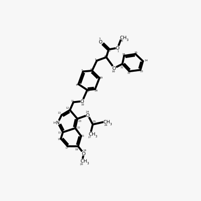 COC(=O)C(Cc1ccc(OCc2cnc3ccc(OC)cc3c2OC(C)C)cc1)Oc1ccccc1